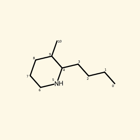 CCCCC1NCCCC1C